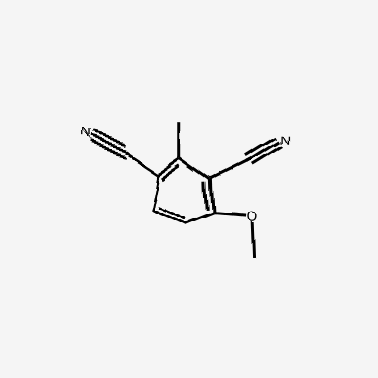 COc1ccc(C#N)c(C)c1C#N